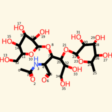 CC(=O)NC(C=O)C(OC1OC(CO)C(O)C(O)C1O)C(OC1OC(C)C(O)C(O)C1O)C(O)CO